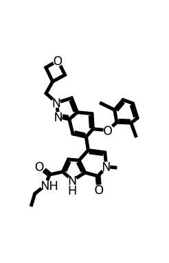 CCNC(=O)c1cc2c(-c3cc4nn(CC5COC5)cc4cc3Oc3c(C)cccc3C)cn(C)c(=O)c2[nH]1